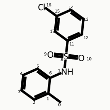 Cc1ccccc1NS(=O)(=O)c1cccc(Cl)c1